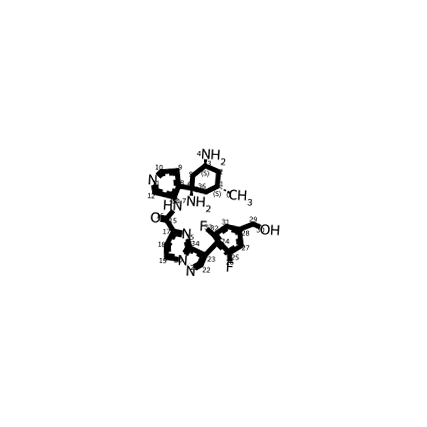 C[C@H]1C[C@H](N)C[C@@](N)(c2ccncc2NC(=O)c2ccn3ncc(-c4c(F)cc(CO)cc4F)c3n2)C1